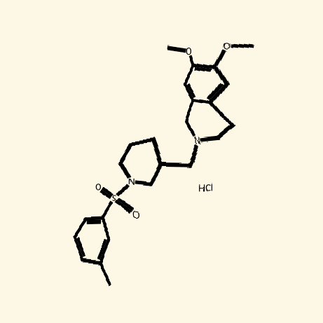 COc1cc2c(cc1OC)CN(CC1CCCN(S(=O)(=O)c3cccc(C)c3)C1)CC2.Cl